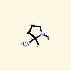 CN1CCCC1(C)N